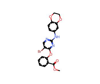 COC(=O)c1ccccc1Oc1nc(Nc2ccc3c(c2)OCCO3)ncc1Br